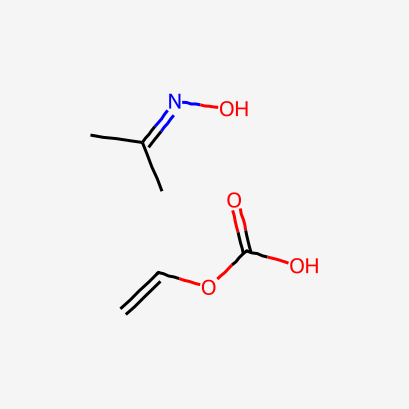 C=COC(=O)O.CC(C)=NO